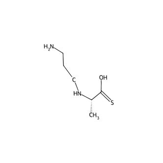 C[C@H](NCCCN)C(O)=S